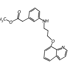 COC(=O)Cc1cccc(NCCCOc2cccc3cccnc23)c1